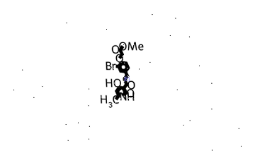 COC(=O)COc1ccc(/C=C/C(=O)c2c(O)cc(C)[nH]c2=O)cc1Br